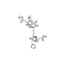 CC(C)(C)OC(=O)CC[C@H](NC(=O)N[C@@H](CCCCNC(=O)[C@@H](Cc1ccccc1)NC(=O)CCC(=O)O)C(=O)OC(C)(C)C)C(=O)OC(C)(C)C